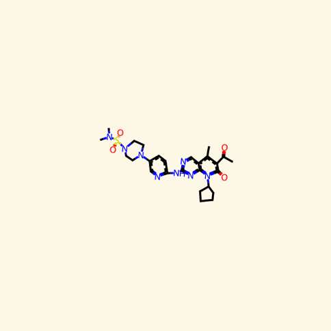 CC(=O)c1c(C)c2cnc(Nc3ccc(N4CCN(S(=O)(=O)N(C)C)CC4)cn3)nc2n(C2CCCC2)c1=O